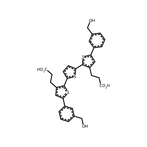 O=C(O)CCc1cc(-c2cccc(CO)c2)sc1-c1ccc(-c2sc(-c3cccc(CO)c3)cc2CCC(=O)O)s1